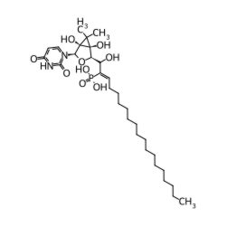 CCCCCCCCCCCCCCCC/C=C(/C(O)[C@H]1O[C@@H](n2ccc(=O)[nH]c2=O)[C@]2(O)C(C)(C)[C@]12O)P(=O)(O)O